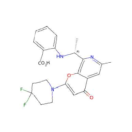 Cc1cc2c(=O)cc(N3CCC(F)(F)CC3)oc2c([C@@H](C)Nc2ccccc2C(=O)O)n1